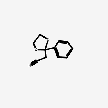 N#CCC1(c2ccccc2)OCCO1